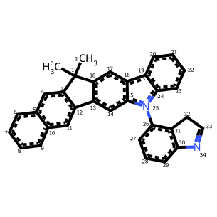 CC1(C)c2cc3ccccc3cc2-c2cc3c(cc21)c1ccccc1n3-c1cccc2c1CC=N2